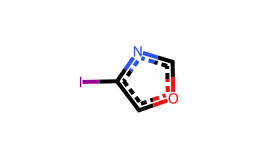 Ic1cocn1